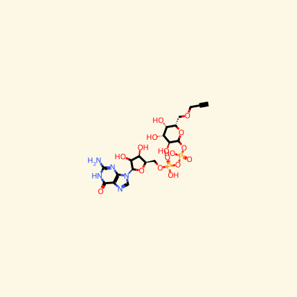 C#CCOC[C@@H]1OC(OP(=O)(O)OP(=O)(O)OC[C@H]2O[C@@H](n3cnc4c(=O)[nH]c(N)nc43)C(O)[C@H]2O)[C@@H](O)[C@H](O)[C@@H]1O